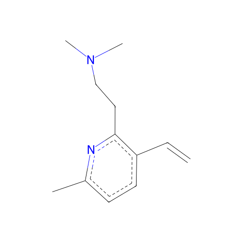 C=Cc1ccc(C)nc1CCN(C)C